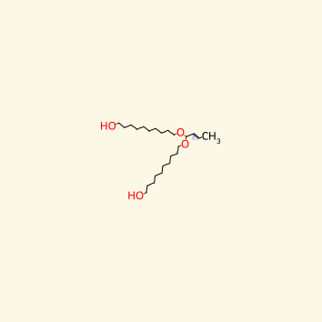 C/C=C/C(OCCCCCCCCCCO)OCCCCCCCCCCO